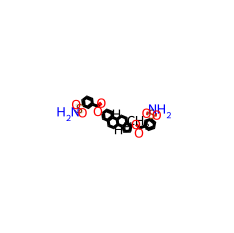 C[C@]12CC[C@@H]3c4ccc(OC(=O)c5cccc(S(N)(=O)=O)c5)cc4CC[C@H]3[C@@H]1CC[C@@H]2OC(=O)c1cccc(S(N)(=O)=O)c1